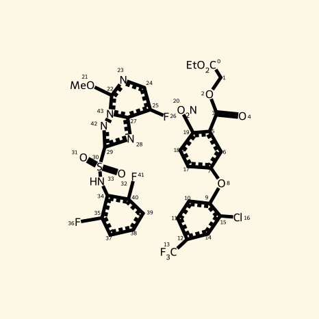 CCOC(=O)COC(=O)c1cc(Oc2ccc(C(F)(F)F)cc2Cl)ccc1[N+](=O)[O-].COc1ncc(F)c2nc(S(=O)(=O)Nc3c(F)cccc3F)nn12